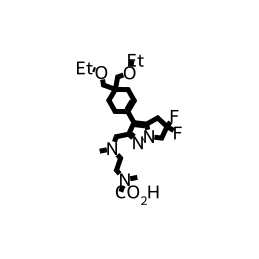 CCOCC1(COCC)CC=C(c2c(CN(C)CCN(C)C(=O)O)nn3c2CC(F)(F)C3)CC1